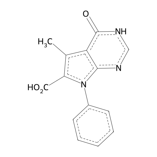 Cc1c(C(=O)O)n(-c2ccccc2)c2nc[nH]c(=O)c12